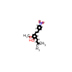 COc1cc(C=Cc2ccc([N+](=O)[O-])cc2)cc(CC=C(C)C)c1O